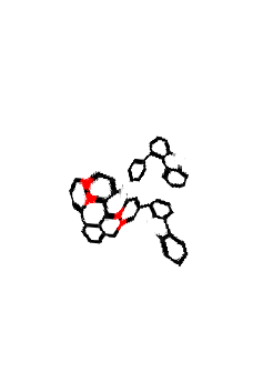 c1ccc(-c2cccc3cccc(-c4ccccc4N(c4ccc(-c5cccc6oc7ccccc7c56)cc4)c4cccc(-c5cccc6c5sc5ccccc56)c4)c23)cc1